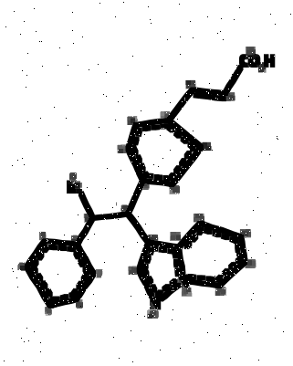 CCC(c1ccccc1)C(c1ccc(C=CC(=O)O)cc1)c1cnn2ccccc12